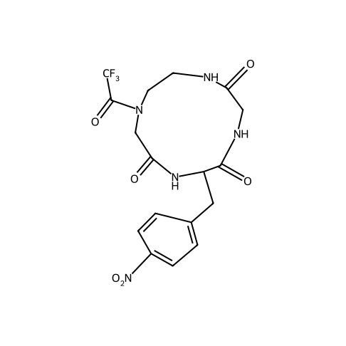 O=C1CNC(=O)C(Cc2ccc([N+](=O)[O-])cc2)NC(=O)CN(C(=O)C(F)(F)F)CCN1